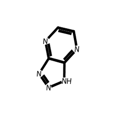 c1cnc2[nH]nnc2n1